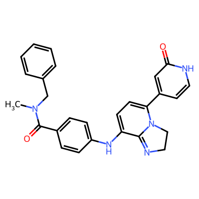 CN(Cc1ccccc1)C(=O)c1ccc(NC2=CC=C(c3cc[nH]c(=O)c3)N3CCN=C23)cc1